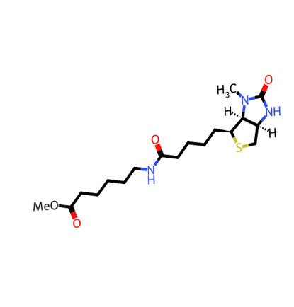 COC(=O)CCCCCNC(=O)CCCC[C@@H]1SC[C@@H]2NC(=O)N(C)[C@@H]21